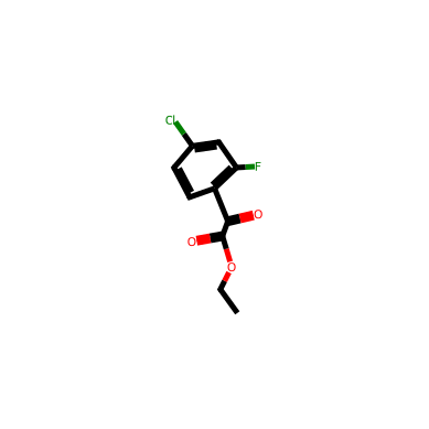 CCOC(=O)C(=O)c1ccc(Cl)cc1F